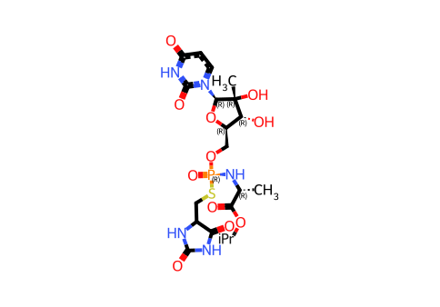 CC(C)OC(=O)[C@@H](C)N[P@@](=O)(OC[C@H]1O[C@@H](n2ccc(=O)[nH]c2=O)[C@](C)(O)[C@@H]1O)SCC1NC(=O)NC1=O